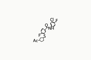 CC(=O)C1CCC(Sc2cc(C(=O)Nc3ccc(F)c(Cl)c3)ccc2F)C1